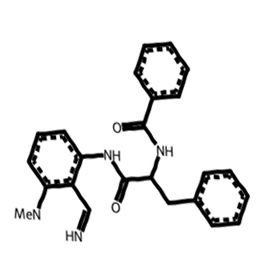 CNc1cccc(NC(=O)C(Cc2ccccc2)NC(=O)c2ccccc2)c1C=N